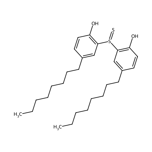 CCCCCCCCc1ccc(O)c(S(=S)c2cc(CCCCCCCC)ccc2O)c1